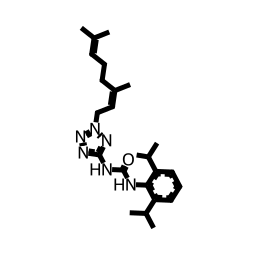 CC(C)=CCCC(C)=CCn1nnc(NC(=O)Nc2c(C(C)C)cccc2C(C)C)n1